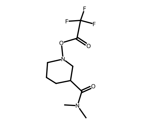 CN(C)C(=O)C1CCCN(OC(=O)C(F)(F)F)C1